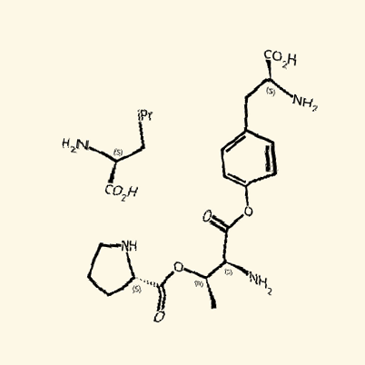 CC(C)C[C@H](N)C(=O)O.C[C@@H](OC(=O)[C@@H]1CCCN1)[C@H](N)C(=O)Oc1ccc(C[C@H](N)C(=O)O)cc1